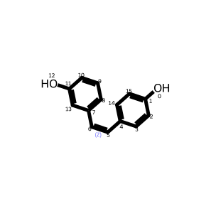 Oc1ccc(/C=C\c2cccc(O)c2)cc1